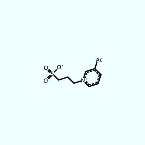 CC(=O)c1ccc[n+](CCCS(=O)(=O)[O-])c1